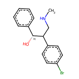 CNCC(c1ccc(Br)cc1)[C@H](O)c1ccccc1